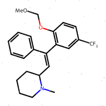 COCOc1ccc(C(F)(F)F)cc1C(=CC1CCCCN1C)c1ccccc1